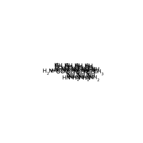 COc1ccc(NC(=O)[C@@H](CCCNC(=N)N)NC(=O)c2cc(NC(=O)[C@@H](CCCNC(=N)N)NC(=O)c3cc(NC(=O)[C@@H](CCCNC(=N)N)NC(=O)c4cc(NC(C)=O)ccc4OC)ccc3OC)ccc2OC)cc1C(=O)NCCCN